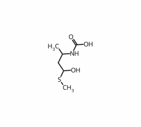 CSC(O)CC(C)NC(=O)O